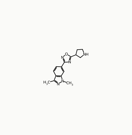 Cc1nn(C)c2cc(-c3noc(C4CCNC4)n3)ccc12